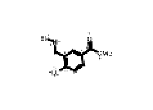 CCNCc1cc(C(=O)OC)ccc1C